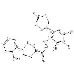 COc1cccnc1N1CCN(C(=O)c2cc3c(N4CCN(C)CC4)cc(Cl)c(F)c3[nH]2)CC1